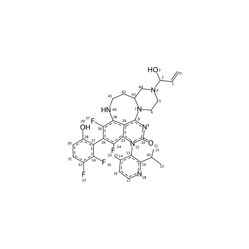 C=CC(O)N1CCN2c3nc(=O)n(-c4c(C)ccnc4C(C)C)c4c(F)c(-c5c(O)ccc(F)c5F)c(F)c(c34)NCCC2C1